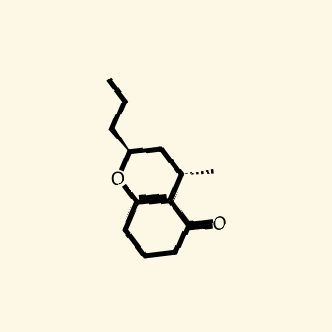 CCC[C@H]1C[C@H](C)C2=C(CCCC2=O)O1